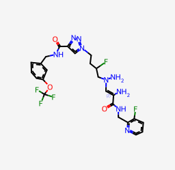 N/C(=C\N(N)CC(F)CCn1cc(C(=O)NCc2cccc(OC(F)(F)F)c2)nn1)C(=O)NCc1ncccc1F